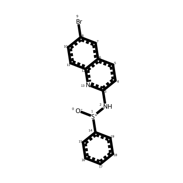 [O-][S+](Nc1ccc2cc(Br)ccc2n1)c1ccccc1